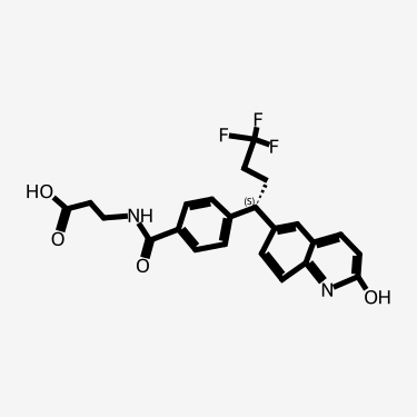 O=C(O)CCNC(=O)c1ccc([C@H](CCC(F)(F)F)c2ccc3nc(O)ccc3c2)cc1